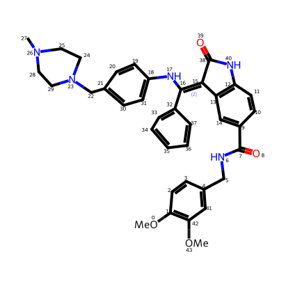 COc1ccc(CNC(=O)c2ccc3c(c2)/C(=C(/Nc2ccc(CN4CCN(C)CC4)cc2)c2ccccc2)C(=O)N3)cc1OC